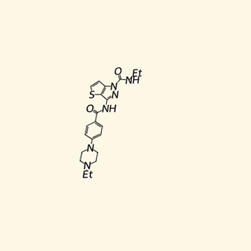 CCNC(=O)n1nc(NC(=O)c2ccc(N3CCN(CC)CC3)cc2)c2sccc21